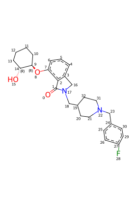 O=C1c2c(cccc2O[C@@H]2CCCC[C@H]2O)CN1CC1CCN(Cc2ccc(F)cc2)CC1